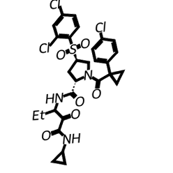 CCC(NC(=O)[C@@H]1C[C@@H](S(=O)(=O)c2ccc(Cl)cc2Cl)CN1C(=O)C1(c2ccc(Cl)cc2)CC1)C(=O)C(=O)NC1CC1